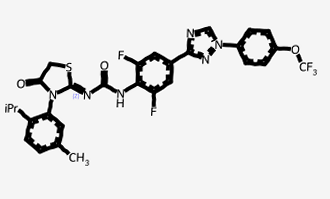 Cc1ccc(C(C)C)c(N2C(=O)CS/C2=N\C(=O)Nc2c(F)cc(-c3ncn(-c4ccc(OC(F)(F)F)cc4)n3)cc2F)c1